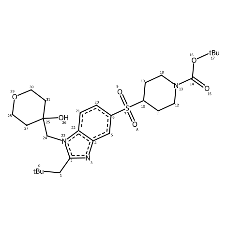 CC(C)(C)Cc1nc2cc(S(=O)(=O)C3CCN(C(=O)OC(C)(C)C)CC3)ccc2n1CC1(O)CCOCC1